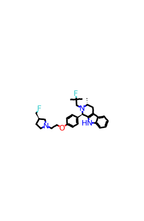 C[C@@H]1Cc2c([nH]c3ccccc23)[C@@H](c2ccc(OCCN3CC[C@@H](CF)C3)cc2)N1CC(C)(C)F